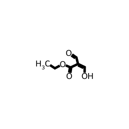 CCOC(=O)/C(C=O)=C\O